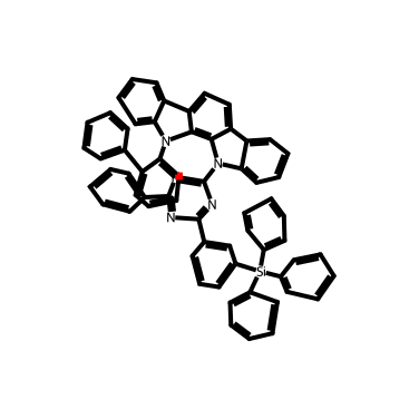 c1ccc(-c2nc(-c3cccc([Si](c4ccccc4)(c4ccccc4)c4ccccc4)c3)nc(-n3c4ccccc4c4ccc5c6ccccc6n(-c6ccccc6-c6ccccc6)c5c43)n2)cc1